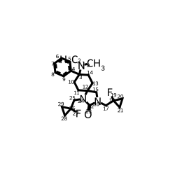 CN(C)C1(c2ccccc2)CCC2(CC1)CN(CC1(F)CC1)C(=O)N2CC1(F)CC1